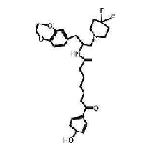 C=C(CCCCCC(=O)C1=CCC(O)C=C1)NC(Cc1ccc2c(c1)OCCO2)CN1CCC(F)(F)CC1